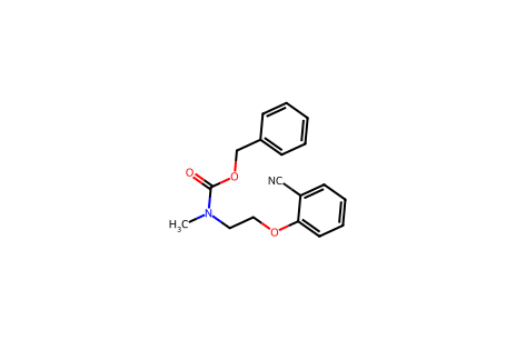 CN(CCOc1ccccc1C#N)C(=O)OCc1ccccc1